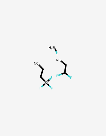 F[SiH3].N#CCC(F)F.N#CCC[Si](F)(F)F